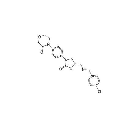 O=C1COCCN1c1ccc(N2CC(CN=Cc3ccc(Cl)cc3)OC2=O)cc1